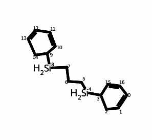 C1=CCC([SiH2]CCC[SiH2]C2C=CC=CC2)C=C1